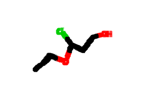 CCOC(Cl)CCO